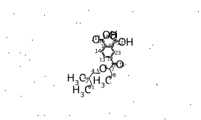 CCC(C)CCOC(CC)C(=O)c1ccc(C(=O)O)c(C(=O)O)c1